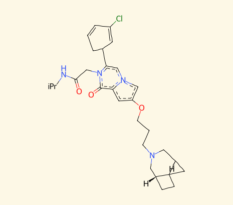 CC(C)NC(=O)Cn1c(C2C=C(Cl)C=CC2)cn2cc(OCCCN3C[C@H]4CCC45C[C@@H]5C3)cc2c1=O